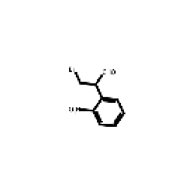 O=CC(CBr)c1ccccc1[N+](=O)[O-]